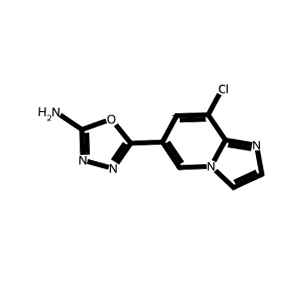 Nc1nnc(-c2[c]c(Cl)c3nccn3c2)o1